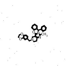 Cc1nc2c(c(=O)n1C(c1ccccc1)c1ccccc1)CN(Cc1ccc3c(c1)OCCO3)CC2